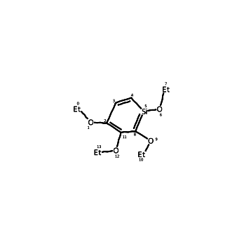 CCOc1cc[si](OCC)c(OCC)c1OCC